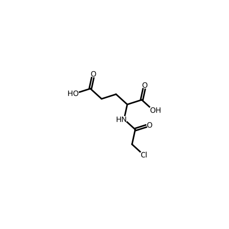 O=C(O)CCC(NC(=O)CCl)C(=O)O